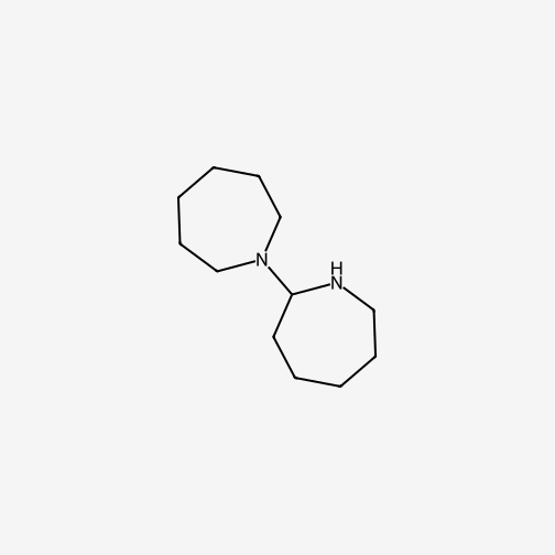 C1CCNC(N2CCCCCC2)CC1